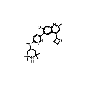 Cc1cc(C2CCO2)c2cc(-c3ccc(N(C)C4CC(C)(C)NC(C)(C)C4)nn3)c(O)cc2n1